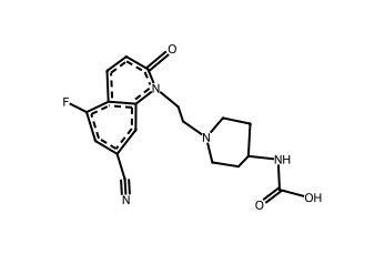 N#Cc1cc(F)c2ccc(=O)n(CCN3CCC(NC(=O)O)CC3)c2c1